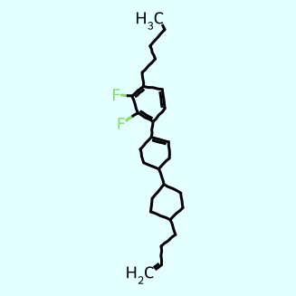 C=CCCC1CCC(C2CC=C(c3ccc(CCCCC)c(F)c3F)CC2)CC1